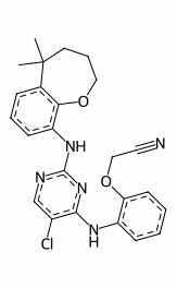 CC1(C)CCCOc2c(Nc3ncc(Cl)c(Nc4ccccc4OCC#N)n3)cccc21